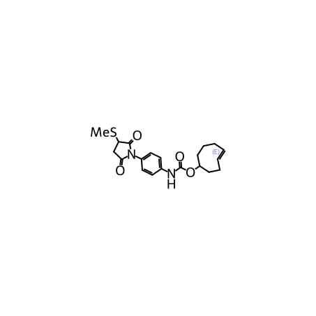 CSC1CC(=O)N(c2ccc(NC(=O)OC3CC/C=C/CCC3)cc2)C1=O